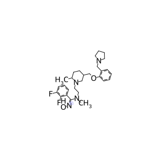 CC1CCC(COc2ccccc2CN2CCCC2)CN1CCN(C)/C(=N/O)c1cccc(F)c1F